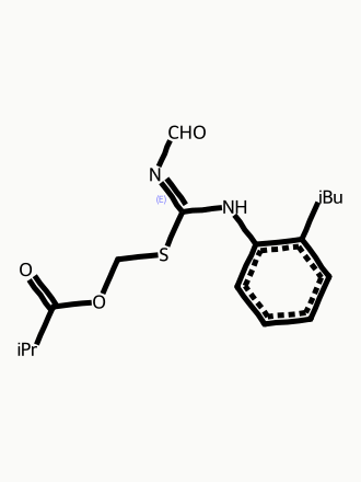 CCC(C)c1ccccc1N/C(=N\C=O)SCOC(=O)C(C)C